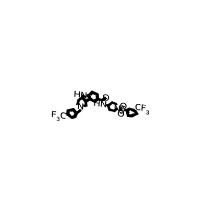 O=C(NC1CCN(S(=O)(=O)c2cccc(C(F)(F)F)c2)CC1)c1ccc2[nH]c3c(c2c1)CN(Cc1ccc(C(F)(F)F)cc1)CC3